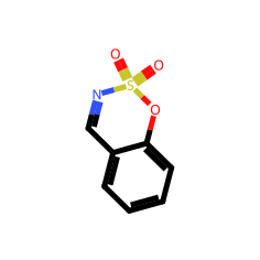 O=S1(=O)N=Cc2ccccc2O1